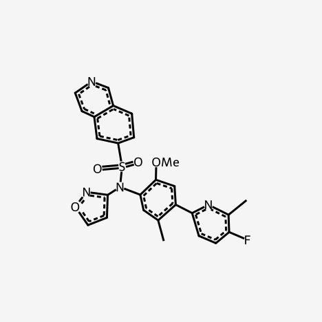 COc1cc(-c2ccc(F)c(C)n2)c(C)cc1N(c1ccon1)S(=O)(=O)c1ccc2cnccc2c1